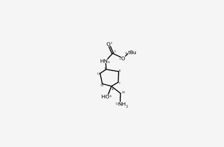 CC(C)(C)OC(=O)NC1CCC(O)(CN)CC1